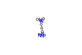 c1ccc(-c2cc(-c3ccc(-c4ccc(-c5ccc(-n6c(-c7ccccn7)nc7ccccc76)cc5)cc4)cc3)nc(-c3ccccc3)n2)cc1